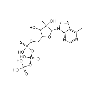 Cc1ncnc2c1ncn2C1OC(COP(O)(=S)OP(=O)(O)OP(=O)(O)O)C(O)C1(C)O